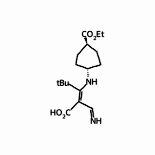 CCOC(=O)[C@H]1CC[C@H](N/C(=C(\C=N)C(=O)O)C(C)(C)C)CC1